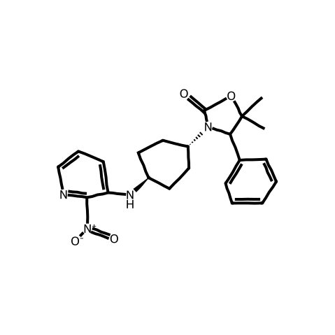 CC1(C)OC(=O)N([C@H]2CC[C@H](Nc3cccnc3[N+](=O)[O-])CC2)C1c1ccccc1